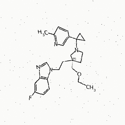 CCOC[C@@]1(CCn2cnc3cc(F)ccc32)CCN(C2(c3ccc(C)nc3)CC2)C1